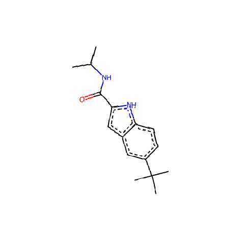 CC(C)NC(=O)c1cc2cc(C(C)(C)C)ccc2[nH]1